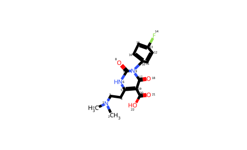 CN(C)CCc1[nH]c(=O)n(-c2ccc(F)cc2)c(=O)c1C(=O)O